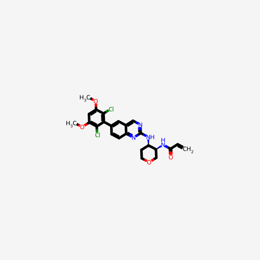 C=CC(=O)N[C@H]1COCC[C@H]1Nc1ncc2cc(-c3c(Cl)c(OC)cc(OC)c3Cl)ccc2n1